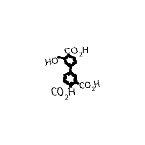 O=C(O)c1ccc(-c2ccc(C(=O)O)c(C(=O)O)c2)cc1CO